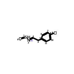 O=[SiH]/N=C/Cc1ccc(Cl)cc1